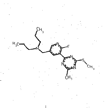 CCCN(CCC)Cc1cnc(F)c(-c2nc(C)nc(SC)n2)c1